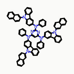 c1ccc(N(c2ccc3c(c2)c2ccccc2n3-c2ccc3ccccc3c2)c2cc(N(c3ccccc3)c3ccc4c(c3)c3ccccc3n4-c3ccc4ccccc4c3)nc(N(c3ccccc3)c3ccc4c(c3)c3ccccc3n4-c3ccc4ccccc4c3)n2)cc1